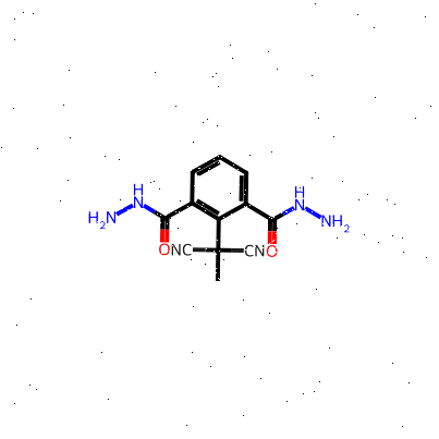 CC(C#N)(C#N)c1c(C(=O)NN)cccc1C(=O)NN